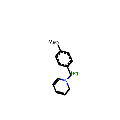 COc1ccc(CN2C=CC=CC2)cc1.Cl